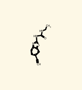 C#Cc1ccc2nc(NC(=O)NCC)sc2c1